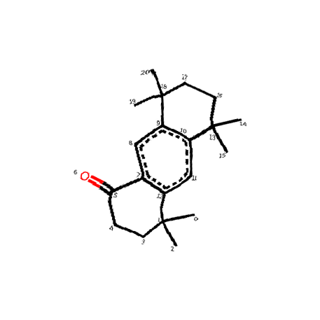 CC1(C)CCC(=O)c2cc3c(cc21)C(C)(C)CCC3(C)C